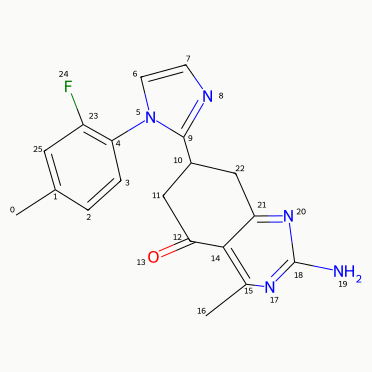 Cc1ccc(-n2ccnc2C2CC(=O)c3c(C)nc(N)nc3C2)c(F)c1